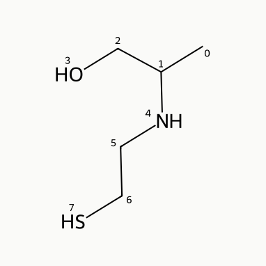 CC(CO)NCCS